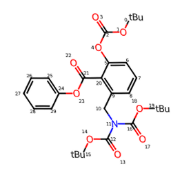 CC(C)(C)OC(=O)Oc1cccc(CN(C(=O)OC(C)(C)C)C(=O)OC(C)(C)C)c1C(=O)Oc1ccccc1